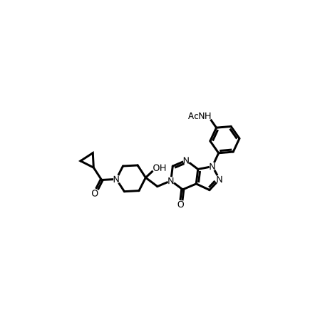 CC(=O)Nc1cccc(-n2ncc3c(=O)n(CC4(O)CCN(C(=O)C5CC5)CC4)cnc32)c1